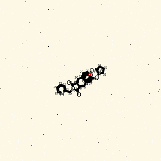 COc1ccc(/C=C2/C(=O)N(Cc3ccccn3)C(=O)/C2=C/c2ccccc2)cc1OC1CCCC1